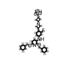 CC(C)(C)OC(=O)C1CC(N2CC(c3ccc(Nc4ccc(OCc5ccccc5)nc4OCc4ccccc4)cc3F)C2)C1